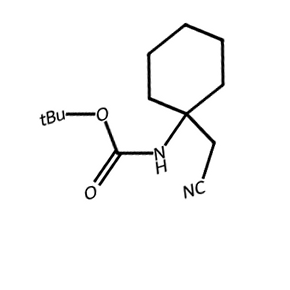 CC(C)(C)OC(=O)NC1(CC#N)CCCCC1